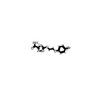 NC(=O)c1nnc(SCCOc2ccc(Br)cc2)s1